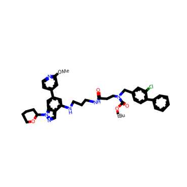 COc1cc(-c2cc(NCCCNC(=O)CCN(Cc3ccc(-c4ccccc4)c(Cl)c3)C(=O)OC(C)(C)C)c3cnn(C4CCCCO4)c3c2)ccn1